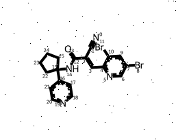 N#CC(=Cc1ncc(Br)cc1Br)C(=O)NC1(c2ccncc2)CCCC1